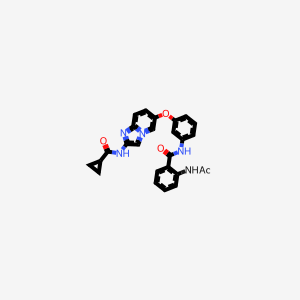 CC(=O)Nc1ccccc1C(=O)Nc1cccc(Oc2ccc3nc(NC(=O)C4CC4)cn3c2)c1